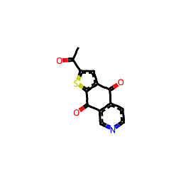 CC(=O)c1cc2c(s1)C(=O)c1cnccc1C2=O